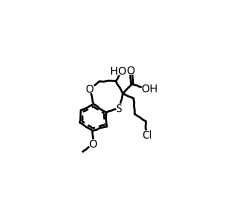 COc1ccc2c(c1)SC(CCCCl)(C(=O)O)C(O)CO2